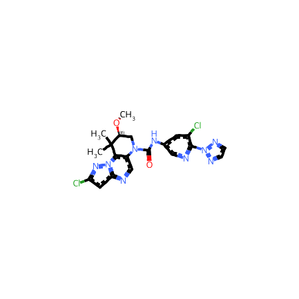 CO[C@H]1CN(C(=O)Nc2cnc(-n3nccn3)c(Cl)c2)c2cnc3cc(Cl)nn3c2C1(C)C